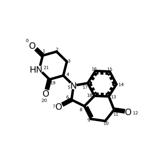 O=C1CCC(N2C(=O)C3=CCC(=O)c4cccc2c43)C(=O)N1